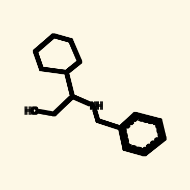 OCC(NCc1ccccc1)C1CCCCC1